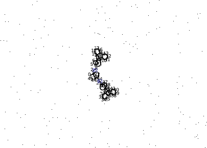 C1=C(/C=C/c2ccc(-n3c4ccccc4c4ccccc43)o2)OC(/C=C/c2ccc(-n3c4ccccc4c4ccccc43)o2)=CC1